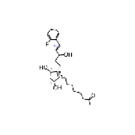 CC(=O)CCCCCC[C@@H]1[C@@H](CCC(O)/C=C/c2ccccc2F)[C@H](O)C[C@@H]1O